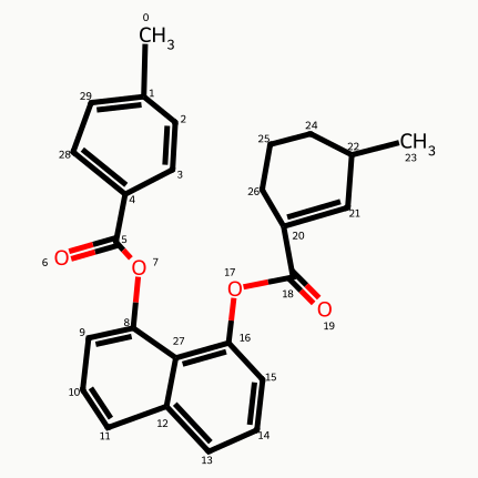 Cc1ccc(C(=O)Oc2cccc3cccc(OC(=O)C4=CC(C)CCC4)c23)cc1